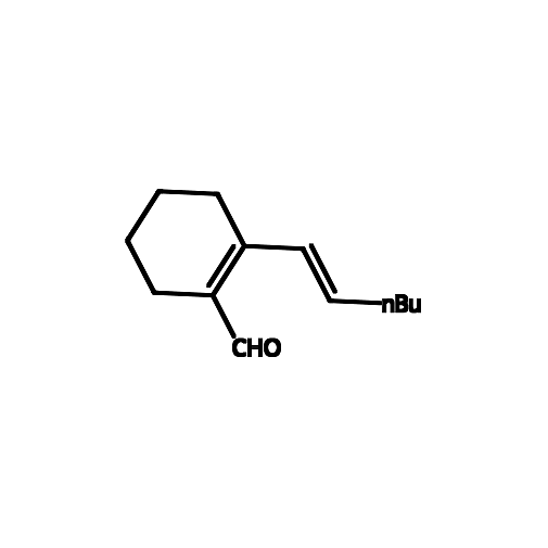 CCCCC=CC1=C(C=O)CCCC1